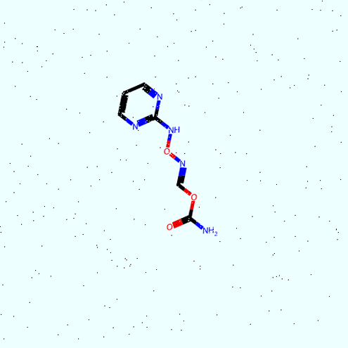 NC(=O)OC=NONc1ncccn1